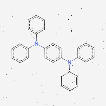 C1=CCC(N(c2ccccc2)c2ccc(N(c3ccccc3)c3ccccc3)cc2)C=C1